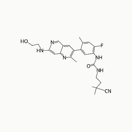 Cc1cc(F)c(NC(=O)NCCC(C)(C)C#N)cc1-c1cc2cnc(NCCO)cc2nc1C